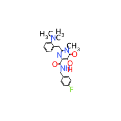 CN(C)c1ccccc1Cc1nc(C(=O)NCc2ccc(F)cc2)c(O)c(=O)n1C